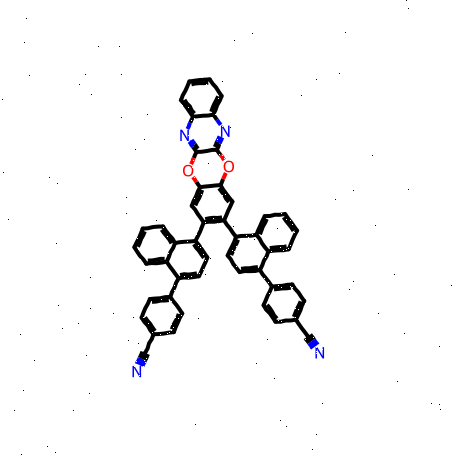 N#Cc1ccc(-c2ccc(-c3cc4c(cc3-c3ccc(-c5ccc(C#N)cc5)c5ccccc35)Oc3nc5ccccc5nc3O4)c3ccccc23)cc1